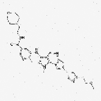 COCCn1cc(-c2cc3c4c(cnn3c2)c(Nc2cc(C(=O)NCCN3CCOCC3)cnc2C)nn4C)cn1